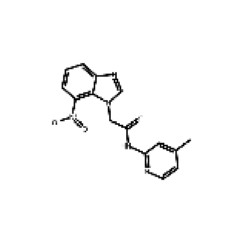 Cc1ccnc(NC(=O)Cn2cnc3cccc([N+](=O)[O-])c32)c1